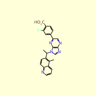 Cc1c(C(C)n2cnc3ncc(-c4ccc(C(=O)O)c(F)c4)nc32)ccc2ncccc12